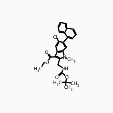 CCOC(=O)c1c(CNC(=O)OC(C)(C)C)n(C)c2cc(-c3cccc4ccccc34)c(Cl)cc12